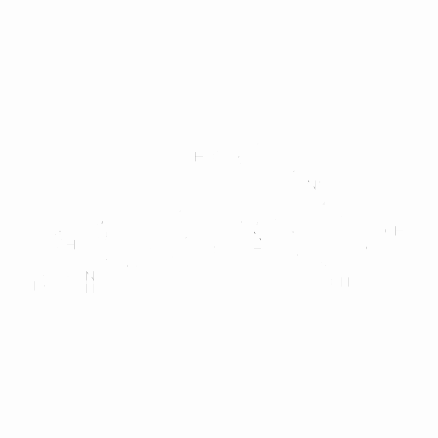 COc1cc2nc3ccc(C)cc3c(Nc3cccc(CCOC(=O)NC(C)C)c3)c2cc1C